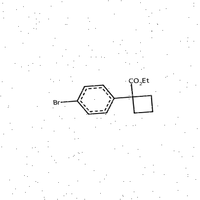 CCOC(=O)C1(c2ccc(Br)cc2)CCC1